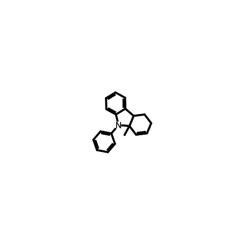 CC12C=CCCC1c1ccccc1N2c1ccccc1